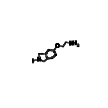 NCCOc1ccc2c(c1)CN(I)C2